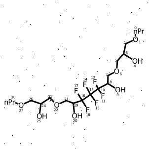 CCCOCC(O)COCC(O)C(F)(F)C(F)(F)C(F)(F)C(O)COCC(O)COCCC